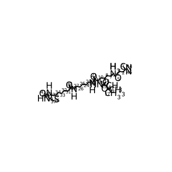 CC1(CCC(=O)NCCCCC(NC(=O)OC(C)(C)C)C(=O)NCCCCCNC(=O)CCCCC2SCC3NC(=O)NC32)N=N1